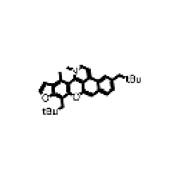 Cc1c2c(c(CC(C)(C)C)c3occc13)Oc1cc3ccc(CC(C)(C)C)cc3c3cc[n+](C)c-2c13